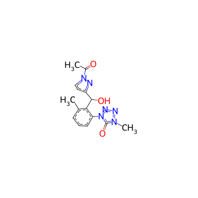 CC(=O)n1ccc(C(O)c2c(C)cccc2-n2nnn(C)c2=O)n1